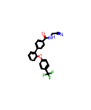 N#CCNC(=O)c1ccc(-c2ccccc2Oc2ccc(C(F)(F)F)cc2)cc1